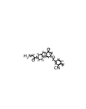 N#Cc1cc(COc2cc3n(c(=O)n2)CC2CN(C(=O)CN)CCN32)ccc1F